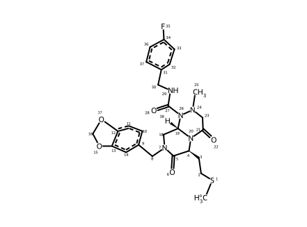 CSCC[C@H]1C(=O)N(Cc2ccc3c(c2)OCO3)C[C@H]2N1C(=O)CN(C)N2C(=O)NCc1ccc(F)cc1